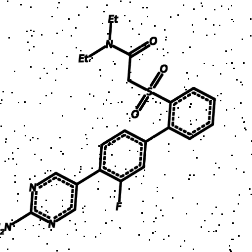 CCN(CC)C(=O)CS(=O)(=O)c1ccccc1-c1ccc(-c2cnc(N)nc2)c(F)c1